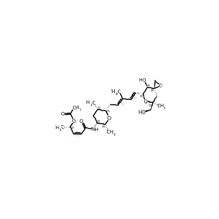 CC(=O)O[C@@H](C)/C=C\C(=O)N[C@@H]1C[C@H](C)[C@H](C/C=C(C)/C=C/[C@H]2O[C@](C)(CO)C[C@@]3(CO3)[C@@H]2O)O[C@@H]1C